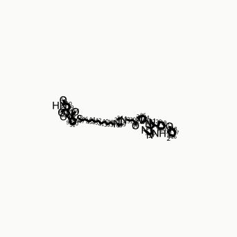 Nc1ncnc2c1c(-c1ccc(Oc3ccccc3)cc1)nn2[C@@H]1CCCN(C(=O)CCCN2CCN(CCCCCCCCCCCSc3cccc4c3C(=O)N(C3CCC(=O)NC3=O)C4=O)CC2)C1